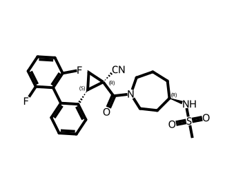 CS(=O)(=O)N[C@@H]1CCCN(C(=O)[C@]2(C#N)C[C@H]2c2ccccc2-c2c(F)cccc2F)CC1